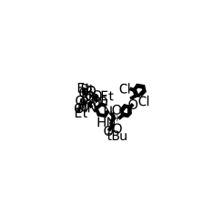 CCOOP(=O)(OOCC)C(NC1CCN(C(=O)[C@H](Cc2ccc(OCc3c(Cl)cccc3Cl)cc2)NC(=O)OC(C)(C)C)CC1)P(=O)(OOCC)OOCC